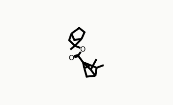 CC1C2CC3C1C3(C(=O)OC1(C)CC3CCC1C3)C2C